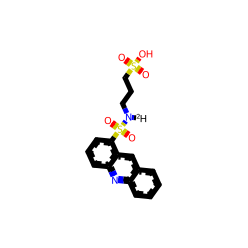 [2H]N(CCCS(=O)(=O)O)S(=O)(=O)c1cccc2nc3ccccc3cc12